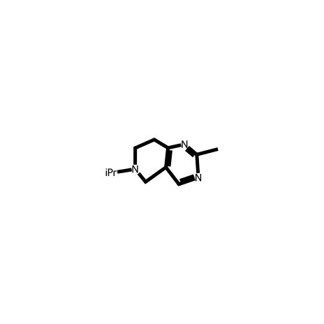 Cc1ncc2c(n1)CCN(C(C)C)C2